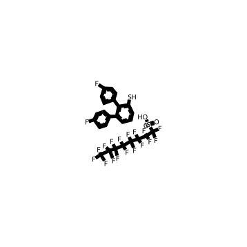 Fc1ccc(-c2cccc(S)c2-c2ccc(F)cc2)cc1.O=S(=O)(O)C(F)(F)C(F)(F)C(F)(F)C(F)(F)C(F)(F)C(F)(F)C(F)(F)C(F)(F)F